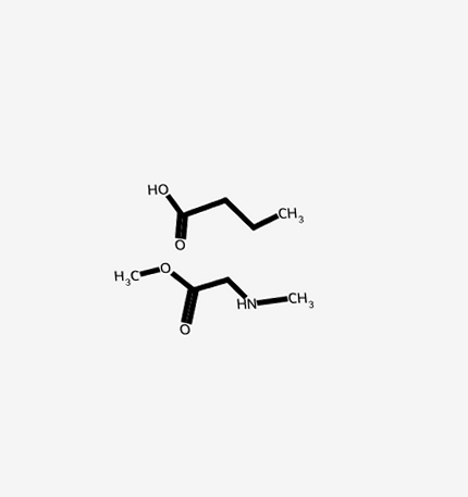 CCCC(=O)O.CNCC(=O)OC